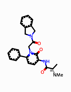 CN[C@@H](C)C(=O)Nc1ccc(-c2ccccc2)n(CC(=O)N2Cc3ccccc3C2)c1=O